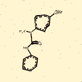 COc1ccc(N(C(=O)Nc2ccccc2)C(F)(F)F)cc1